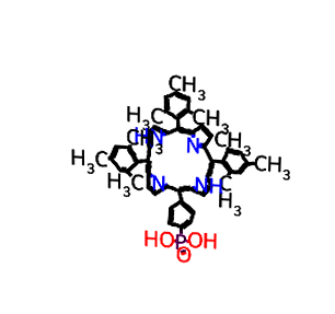 Cc1cc(C)c(-c2c3nc(c(-c4c(C)cc(C)cc4C)c4ccc([nH]4)c(-c4c(C)cc(C)cc4C)c4nc(c(-c5ccc(P(=O)(O)O)cc5)c5ccc2[nH]5)C=C4)C=C3)c(C)c1